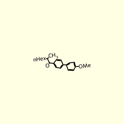 CCCCCCC(C)C(=O)c1ccc(-c2ccc(OC)cc2)cc1